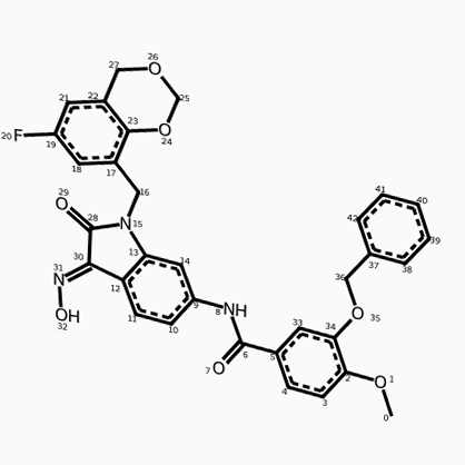 COc1ccc(C(=O)Nc2ccc3c(c2)N(Cc2cc(F)cc4c2OCOC4)C(=O)/C3=N/O)cc1OCc1ccccc1